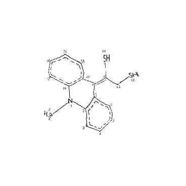 PN1c2ccccc2C(=C(S)CS)c2ccccc21